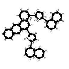 c1ccc2cc3c(cc2c1)c(-c1ccc(-c2cccc4ccccc24)s1)cc1c(-c2ccc(-c4cccc5ccccc45)s2)cccc13